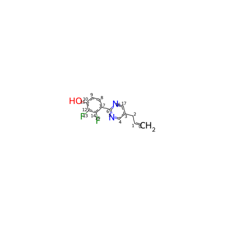 C=CCc1cnc(-c2ccc(O)c(F)c2F)nc1